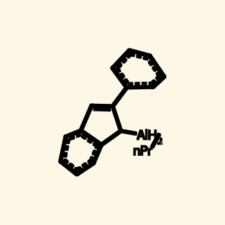 CCCC.[AlH2][CH]1C(c2ccccc2)=Cc2ccccc21